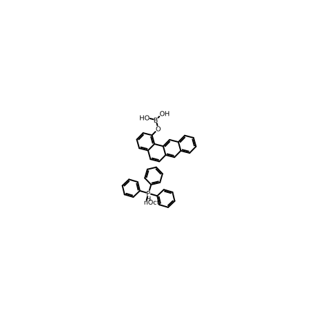 CCCCCCCC[PH](c1ccccc1)(c1ccccc1)c1ccccc1.OB(O)Oc1cccc2ccc3cc4ccccc4cc3c12